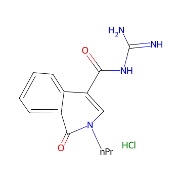 CCCn1cc(C(=O)NC(=N)N)c2ccccc2c1=O.Cl